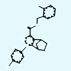 O=C(NCc1ccccc1Cl)c1nn(-c2ccc(Cl)cc2)c2c1C1CCC2C1